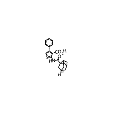 O=C(O)c1c(-c2ccccc2)csc1NC(=O)C12CC3CC1C[C@@H](C3)C2